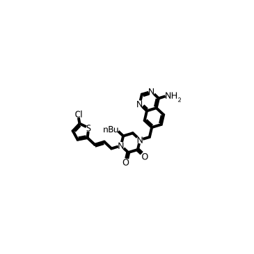 CCCCC1CN(Cc2ccc3c(N)ncnc3c2)C(=O)C(=O)N1CC=Cc1ccc(Cl)s1